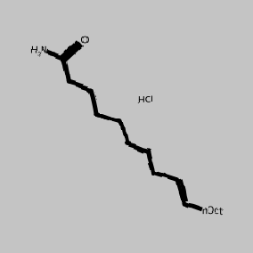 CCCCCCCCC=CCCCCCCCC(N)=O.Cl